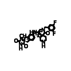 CN1C(=O)NC(=O)[C@@]12Cc1ccc(NC(=O)CN(Cc3cc(F)cc(F)c3)C(=O)C3(C)CCNCC3)cc1C2